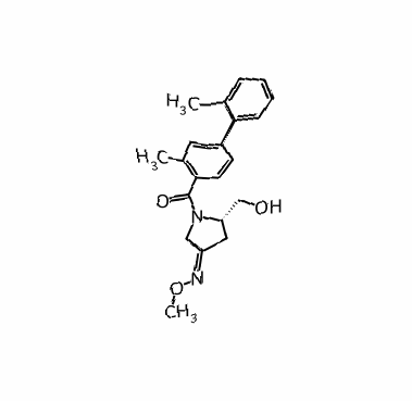 CO/N=C1/C[C@@H](CO)N(C(=O)c2ccc(-c3ccccc3C)cc2C)C1